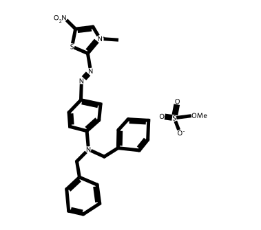 COS(=O)(=O)[O-].C[n+]1cc([N+](=O)[O-])sc1N=Nc1ccc(N(Cc2ccccc2)Cc2ccccc2)cc1